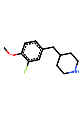 COc1ccc(CC2CCNCC2)cc1F